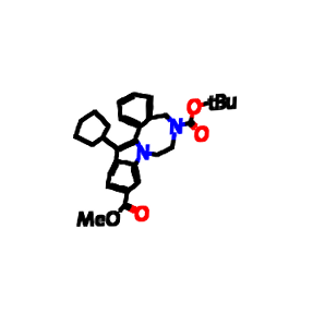 COC(=O)c1ccc2c(C3CCCCC3)c3n(c2c1)CCN(C(=O)OC(C)(C)C)Cc1ccccc1-3